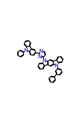 c1ccc(-c2cccc(-n3c4ccccc4c4cc5c(cc43)c3ccccc3n5-c3ccnc(-c4ccc5c(c4)c4ccccc4n5-c4ccccc4)n3)c2)cc1